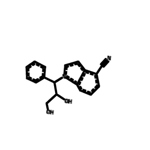 N#Cc1cccc2c1ccn2C(c1ccccc1)C(O)CO